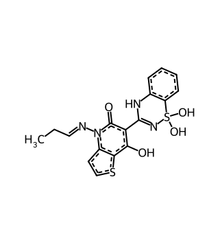 CC/C=N/n1c(=O)c(C2=NS(O)(O)c3ccccc3N2)c(O)c2sccc21